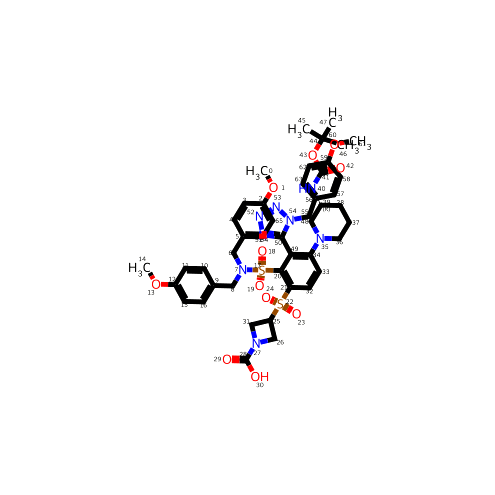 COc1ccc(CN(Cc2ccc(OC)cc2)S(=O)(=O)c2c(S(=O)(=O)C3CN(C(=O)O)C3)ccc(N3CCC[C@@H](NC(=O)OC(C)(C)C)C3)c2-c2nnnn2Cc2ccc(OC)cc2)cc1